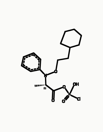 C[C@@H](C(=O)OP(=O)(O)Cl)N(OCCC1CCCCC1)c1ccccc1